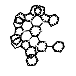 C1=Cc2c(c3ccccc3n2-c2c(-c3nc(-c4ccccc4)nc(-c4ccccc4)n3)nc(-n3c4ccccc4c4ccccc43)c(-n3c4ccccc4c4ccccc43)c2-n2c3c(c4ccccc42)CCC=C3)CC1